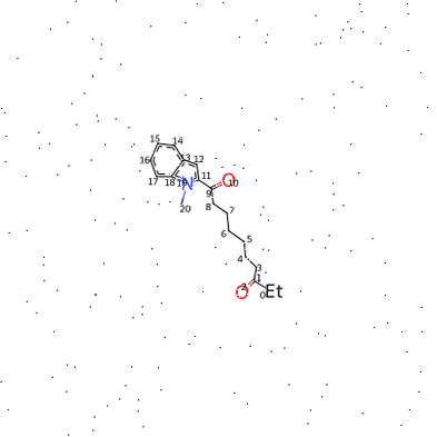 CCC(=O)CCCCCCC(=O)c1cc2ccccc2n1C